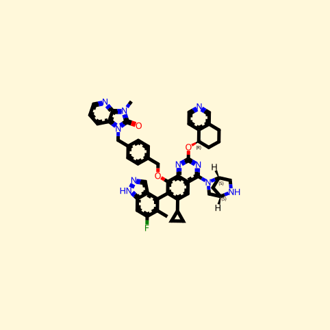 Cc1c(F)cc2[nH]ncc2c1-c1c(C2CC2)cc2c(N3C[C@@H]4C[C@H]3CN4)nc(O[C@@H]3CCCc4cnccc43)nc2c1OCc1ccc(Cn2c(=O)n(C)c3ncccc32)cc1